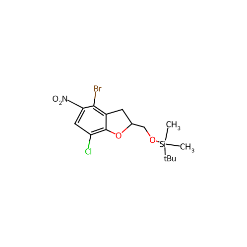 CC(C)(C)[Si](C)(C)OCC1Cc2c(Br)c([N+](=O)[O-])cc(Cl)c2O1